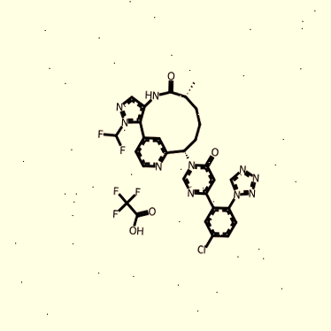 C[C@@H]1CCC[C@H](n2cnc(-c3cc(Cl)ccc3-n3cnnn3)cc2=O)c2cc(ccn2)-c2c(cnn2C(F)F)NC1=O.O=C(O)C(F)(F)F